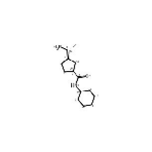 C[C@@H](N)C1CC[C@H](C(=O)NC2CCCCC2)C1